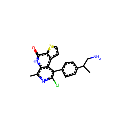 Cc1nc(Cl)c(-c2ccc(C(C)CN)cc2)c2c1[nH]c(=O)c1sccc12